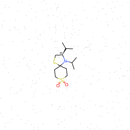 CC(C)[C@@H]1CSC2(CCS(=O)(=O)CC2)N1C(C)C